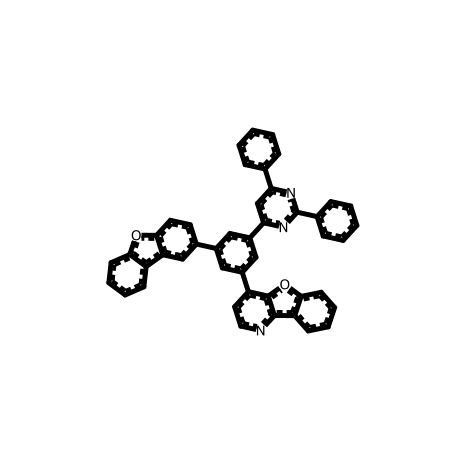 c1ccc(-c2cc(-c3cc(-c4ccc5oc6ccccc6c5c4)cc(-c4ccnc5c4oc4ccccc45)c3)nc(-c3ccccc3)n2)cc1